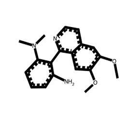 COc1cc2ccnc(-c3c(N)cccc3N(C)C)c2cc1OC